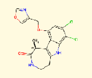 C[C@@H]1C(=O)NCCc2[nH]c3c(Cl)c(Cl)cc(OCc4cocn4)c3c21